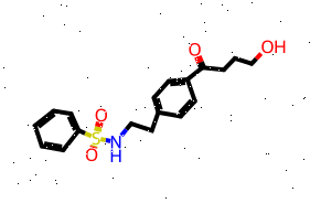 O=C(CCCO)c1ccc(CCNS(=O)(=O)c2ccccc2)cc1